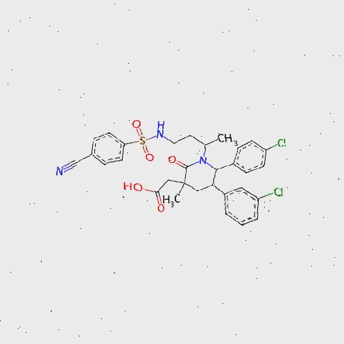 CC(CCNS(=O)(=O)c1ccc(C#N)cc1)N1C(=O)C(C)(CC(=O)O)CC(c2cccc(Cl)c2)C1c1ccc(Cl)cc1